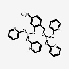 O=[N+]([O-])c1ccc(COP(Oc2ccccn2)Oc2ccccn2)c(OP(Oc2ccccn2)Oc2ccccn2)c1